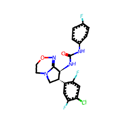 O=C(Nc1ccc(F)cc1)N[C@@H]1C2=NOCCN2C[C@H]1c1cc(F)c(Cl)cc1F